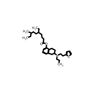 CCCN(CCc1cccs1)C1CCc2c(cccc2OC(=O)CCCC(CC)CCC(C)CC)C1